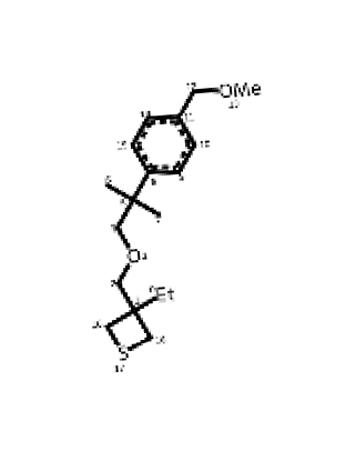 CCC1(COCC(C)(C)c2ccc(COC)cc2)CSC1